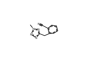 Cn1nnc(Cc2ccccc2C#N)n1